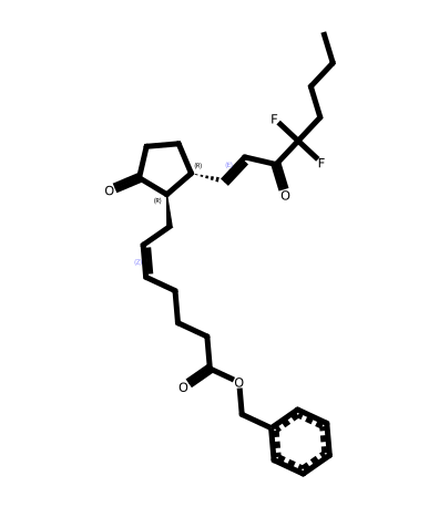 CCCCC(F)(F)C(=O)/C=C/[C@H]1CCC(=O)[C@@H]1C/C=C\CCCC(=O)OCc1ccccc1